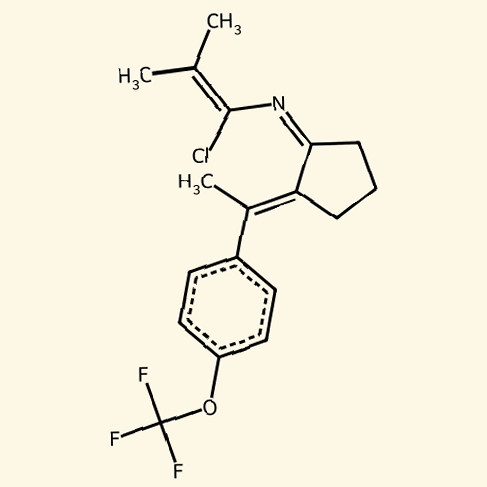 CC(C)=C(Cl)/N=C1/CCC/C1=C(/C)c1ccc(OC(F)(F)F)cc1